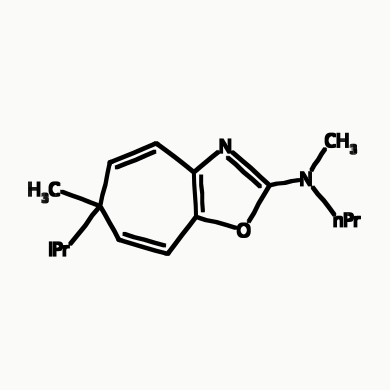 CCCN(C)c1nc2c(o1)C=CC(C)(C(C)C)C=C2